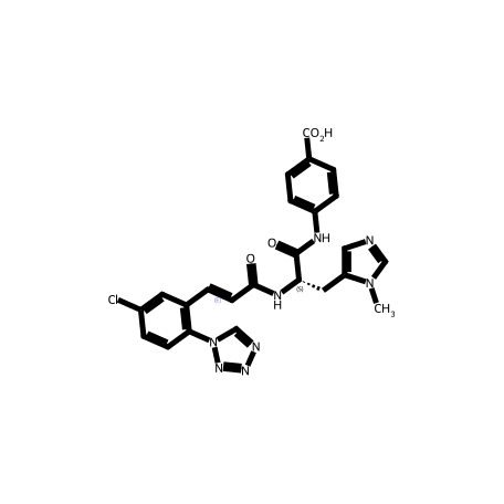 Cn1cncc1C[C@H](NC(=O)/C=C/c1cc(Cl)ccc1-n1cnnn1)C(=O)Nc1ccc(C(=O)O)cc1